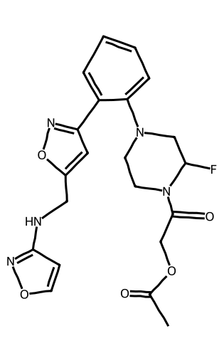 CC(=O)OCC(=O)N1CCN(c2ccccc2-c2cc(CNc3ccon3)on2)CC1F